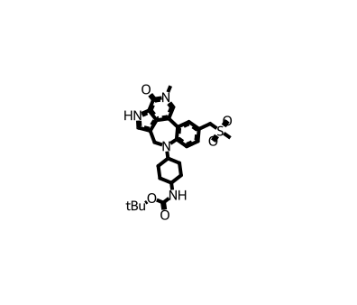 Cn1cc2c3c(c[nH]c3c1=O)CN(C1CCC(NC(=O)OC(C)(C)C)CC1)c1ccc(CS(C)(=O)=O)cc1-2